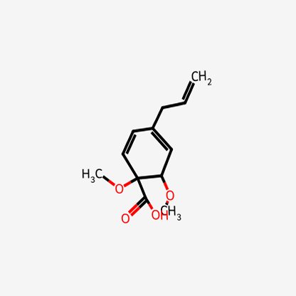 C=CCC1=CC(OC)C(OC)(C(=O)O)C=C1